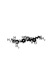 C[C@H](N)CCCc1cc(Cl)c(F)c(-c2cc3c([nH]2)=NC(O)N(c2ccc(CO[C@@H](CN)CCNC(=N)N)cc2)C=3)c1